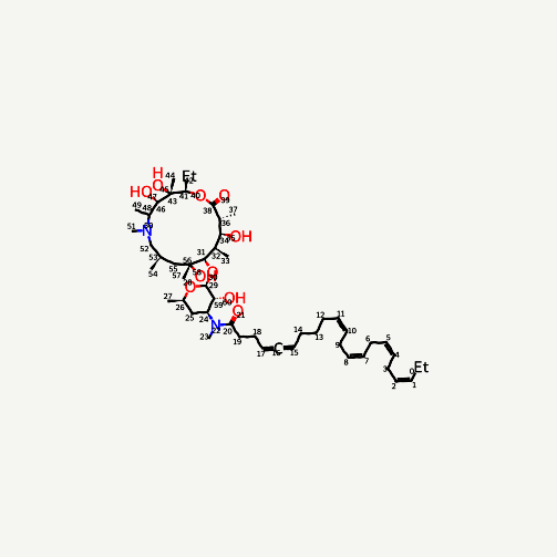 CC/C=C\C/C=C\C/C=C\C/C=C\CCCC=C=CCCC(=O)N(C)[C@H]1C[C@@H](C)O[C@@H](O[C@@H]2[C@H](C)[C@H](O)[C@@H](C)C(=O)O[C@H](CC)[C@@](C)(O)[C@H](O)C(C)N(C)C[C@H](C)C[C@@]2(C)O)[C@@H]1O